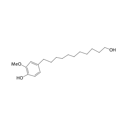 COc1cc(CCCCCCCCCCCO)ccc1O